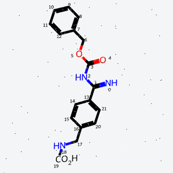 N=C(NC(=O)OCc1ccccc1)c1ccc(CNC(=O)O)cc1